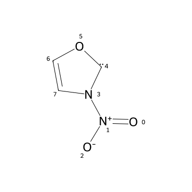 O=[N+]([O-])N1[C]OC=C1